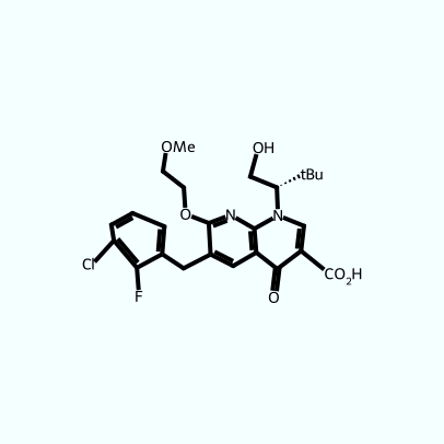 COCCOc1nc2c(cc1Cc1cccc(Cl)c1F)c(=O)c(C(=O)O)cn2[C@H](CO)C(C)(C)C